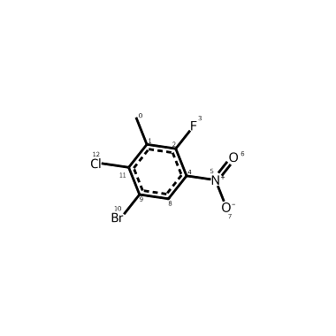 Cc1c(F)c([N+](=O)[O-])cc(Br)c1Cl